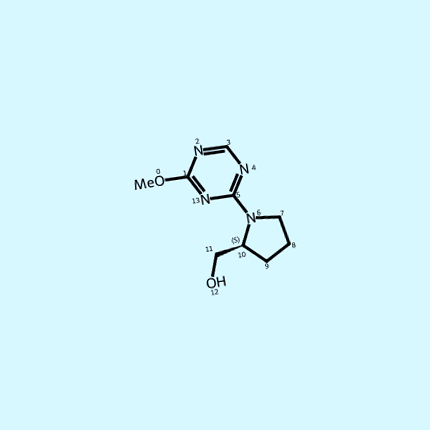 COc1ncnc(N2CCC[C@H]2CO)n1